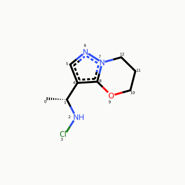 C[C@@H](NCl)c1cnn2c1OCCC2